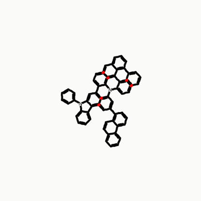 c1ccc(-c2cccc3cccc(-c4ccccc4N(c4cccc(-c5cccc6c5ccc5ccccc56)c4)c4ccccc4-c4ccc5c6ccccc6n(-c6ccccc6)c5c4)c23)cc1